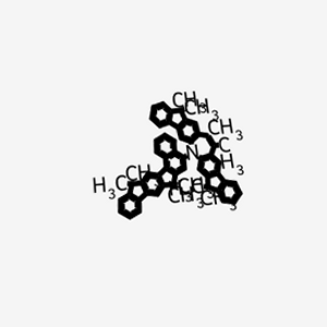 CC1=C(C)c2cc3c(cc2N(c2cc4c(c5ccccc25)-c2cc5c(cc2C4(C)C)-c2ccccc2C5(C)C)c2cc4c(cc21)C(C)(C)c1ccccc1-4)C(C)(C)c1ccccc1-3